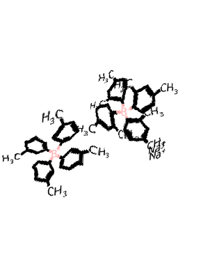 Cc1ccc([B-](c2ccc(C)cc2C)(c2ccc(C)cc2C)c2ccc(C)cc2C)c(C)c1.Cc1cccc([B-](c2cccc(C)c2)(c2cccc(C)c2)c2cccc(C)c2)c1.[Na+].[Na+]